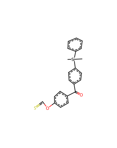 C[Si](C)(c1ccccc1)c1ccc(C(=O)c2ccc(OC=S)cc2)cc1